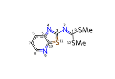 CSC(=Nc1nc2cccnc2s1)SC